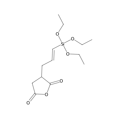 CCO[Si](/C=C/CC1CC(=O)OC1=O)(OCC)OCC